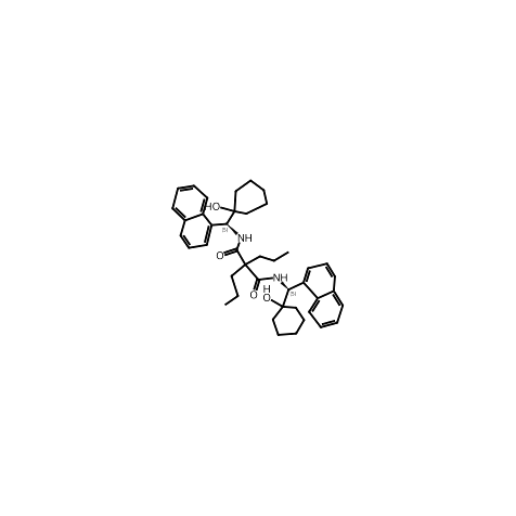 CCCC(CCC)(C(=O)N[C@@H](c1cccc2ccccc12)C1(O)CCCCC1)C(=O)N[C@@H](c1cccc2ccccc12)C1(O)CCCCC1